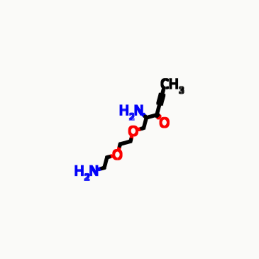 CC#CC(=O)C(N)COCCOCCN